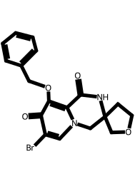 O=C1NC2(CCOC2)Cn2cc(Br)c(=O)c(OCc3ccccc3)c21